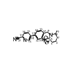 C[C@H]1CCCS(=O)(=O)N1Cc1ccc(-c2ccc(C#N)nc2)cc1F